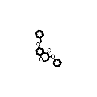 O=C1c2cc(OCc3ccccc3)ccc2OCCC1Oc1ccccc1